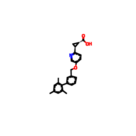 Cc1cc(C)c(-c2cccc(COc3ccc([C@H]4C[C@@H]4C(=O)O)nc3)c2)c(C)c1